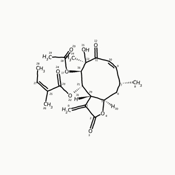 C=C1C(=O)O[C@@H]2C[C@@H](C)/C=C\C(=O)[C@](C)(O)[C@H](OC(C)=O)[C@@H](OC(=O)/C(C)=C\C)[C@@H]12